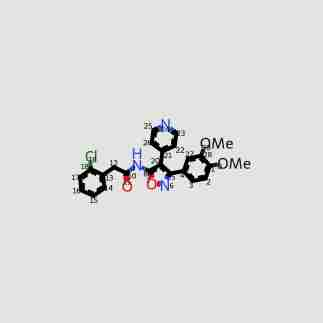 COc1ccc(-c2noc(NC(=O)Cc3ccccc3Cl)c2-c2ccncc2)cc1OC